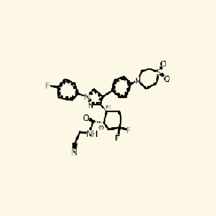 N#CCNC(=O)[C@H]1CC(F)(F)CC[C@@H]1c1nn(-c2ccc(F)cc2)cc1-c1ccc(N2CCS(=O)(=O)CC2)cc1